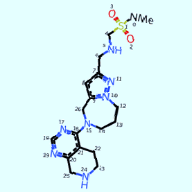 CNS(=O)(=O)CNCc1cc2n(n1)CCCN(c1ncnc3c1CCNC3)C2